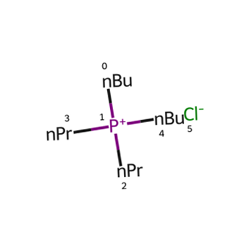 CCCC[P+](CCC)(CCC)CCCC.[Cl-]